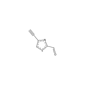 C#Cc1csc(C=O)n1